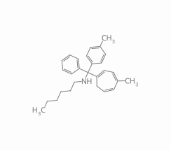 CCCCCCNC(C1=CC=C(C)C=CC1)(c1ccccc1)c1ccc(C)cc1